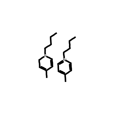 CCCCN1C=CC(C)=CC1.CCCC[n+]1ccc(C)cc1